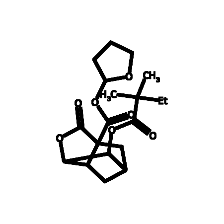 CCC(C)(C)C(=O)OC1C2CC3C1OC(=O)C3(C(=O)OC1CCCO1)C2